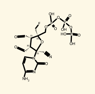 N#C[C@@]1(n2ccc(N)nc2=O)O[C@](CF)(COP(=O)(O)OP(=O)(O)OP(=O)(O)O)[C@@H](C=O)[C@H]1C=O